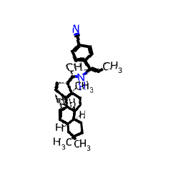 C/C=C(/N[C@@H](C)[C@H]1CC[C@H]2[C@@H]3CC[C@@H]4CC(C)(C)CC[C@@H]4[C@H]3CC[C@]12C)c1ccc(C#N)cc1